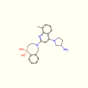 Cc1cccc2c(N3CCC(N)C3)cc(N3CCS(O)(O)c4ccccc4C3)nc12